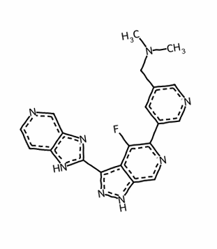 CN(C)Cc1cncc(-c2ncc3[nH]nc(-c4nc5cnccc5[nH]4)c3c2F)c1